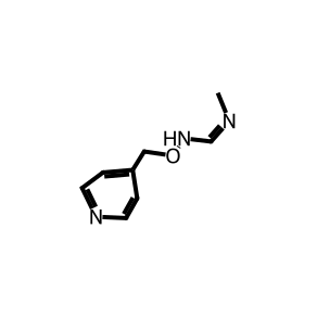 C/N=C\NOCc1ccncc1